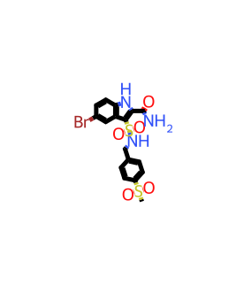 CS(=O)(=O)c1ccc(CNS(=O)(=O)c2c(C(N)=O)[nH]c3ccc(Br)cc23)cc1